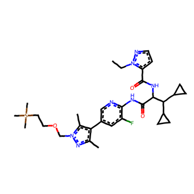 CCn1nccc1C(=O)NC(C(=O)Nc1ncc(-c2c(C)nn(COCCS(C)(C)C)c2C)cc1F)C(C1CC1)C1CC1